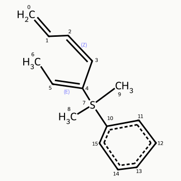 C=C/C=C\C(=C/C)S(C)(C)c1ccccc1